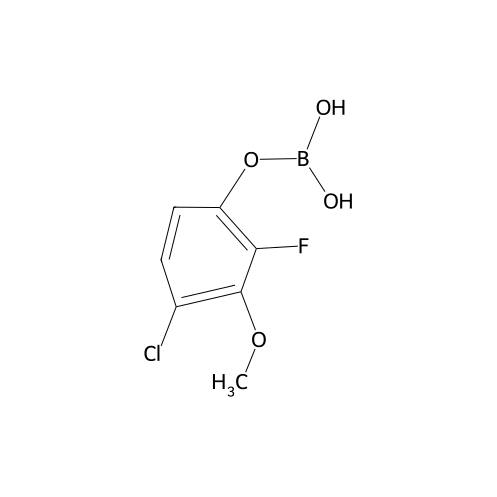 COc1c(Cl)ccc(OB(O)O)c1F